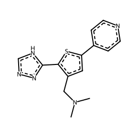 CN(C)Cc1cc(-c2ccncc2)sc1-c1nnc[nH]1